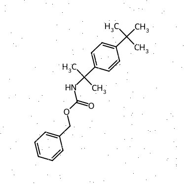 CC(C)(C)c1ccc(C(C)(C)NC(=O)OCc2ccccc2)cc1